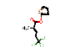 CC(=CCC(Cl)(Cl)Cl)C(=O)Oc1cccs1